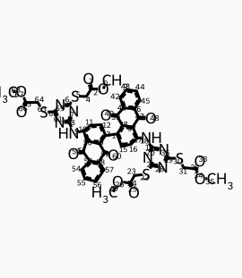 COC(=O)CSc1nc(Nc2ccc(-c3ccc(Nc4nc(SCC(=O)OC)nc(SCC(=O)OC)n4)c4c3C(=O)c3ccccc3C4=O)c3c2C(=O)c2ccccc2C3=O)nc(SCC(=O)OC)n1